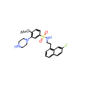 COc1ccc(S(=O)(=O)NCCc2cccc3ccc(F)cc23)cc1N1CCNCC1